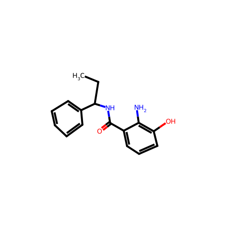 CCC(NC(=O)c1cccc(O)c1N)c1ccccc1